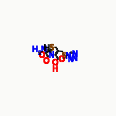 COC1(N)C(=O)N2C(C(=O)O)=C(CSn3cnnn3)CS[C@@H]21